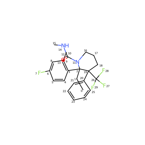 CCC1(c2ccc(F)cc2C)N(C(=O)NC)CCCC1(c1ccccc1)C(F)(F)F